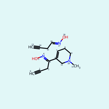 C#CC/C(=N\O)C1=CCCN(C)C1.C#CC/C=N/O